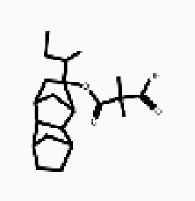 CCC(C)C1(OC(=O)C(C)(C)C(=O)O)CC2CC1C1C3CCC(C3)C21